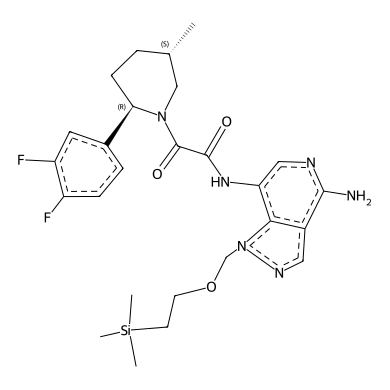 C[C@H]1CC[C@H](c2ccc(F)c(F)c2)N(C(=O)C(=O)Nc2cnc(N)c3cnn(COCC[Si](C)(C)C)c23)C1